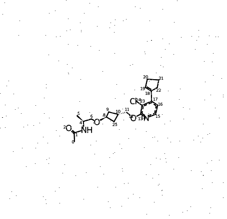 CC(=O)N[C@@H](C)CO[C@H]1C[C@H](COc2nccc(C3=CCCC3)c2Cl)C1